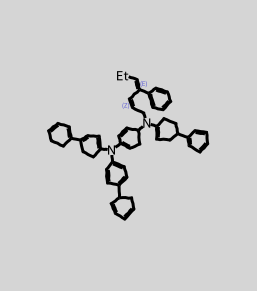 CC/C=C(\C=C/CN(C1=CCC(c2ccccc2)CC1)C1C=CC(N(C2=CC=C(C3=CC=CCC3)CC2)c2ccc(C3C=CC=CC3)cc2)=CC1)c1ccccc1